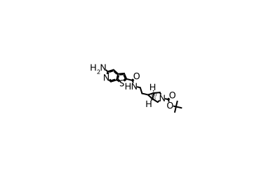 CC(C)(C)OC(=O)N1C[C@@H]2C(CCNC(=O)c3cc4cc(N)ncc4s3)[C@@H]2C1